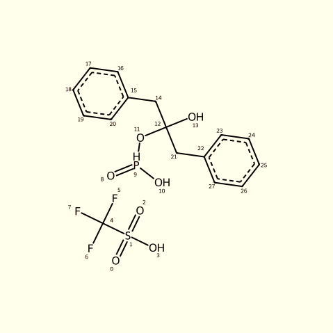 O=S(=O)(O)C(F)(F)F.O=[PH](O)OC(O)(Cc1ccccc1)Cc1ccccc1